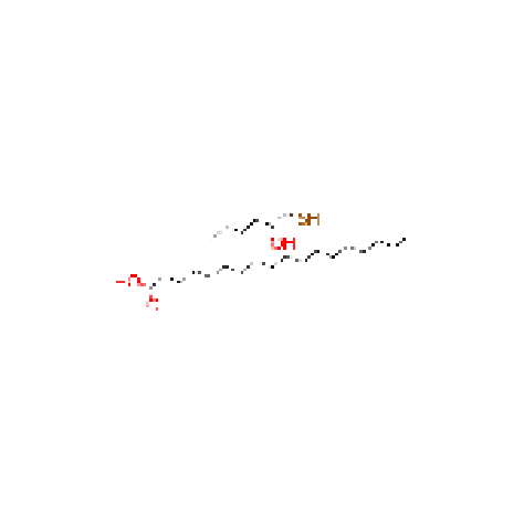 CCCCC(O)CS.CCCCCCCCCCCCCCCCCC(=O)O